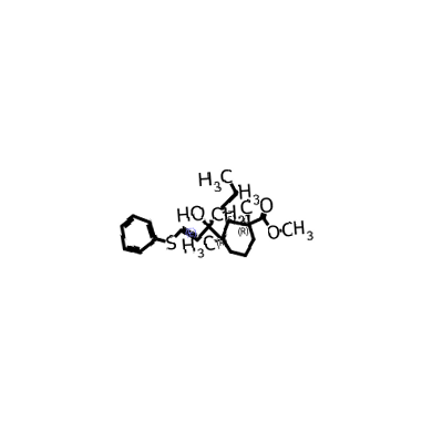 CCC[C@@H]1[C@](C)(C(=O)OC)CCC[C@@]1(C)C(C)(O)/C=C/Sc1ccccc1